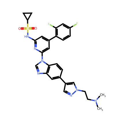 CN(C)CCn1cc(-c2ccc3c(c2)ncn3-c2cc(-c3ccc(F)cc3F)cc(NS(=O)(=O)C3CC3)n2)cn1